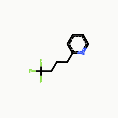 FC(F)(F)CCCc1ccccn1